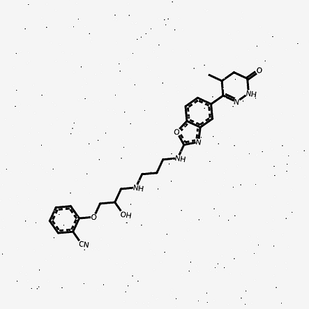 CC1CC(=O)NN=C1c1ccc2oc(NCCCNCC(O)COc3ccccc3C#N)nc2c1